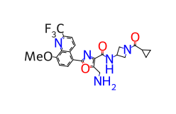 COc1ccc(-c2nc(C(=O)NC3CN(C(=O)C4CC4)C3)c(CN)o2)c2ccc(C(F)(F)F)nc12